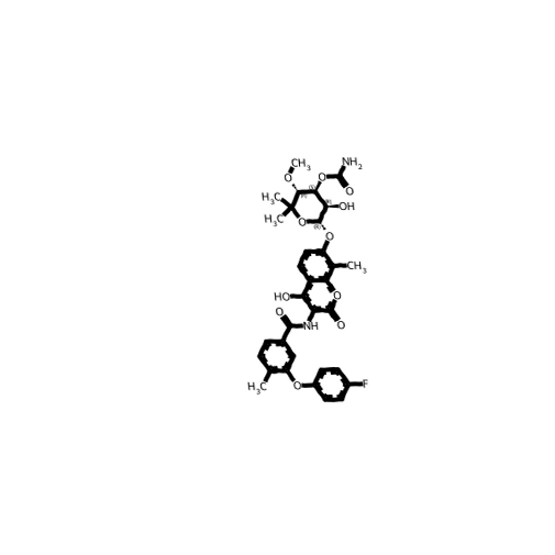 CO[C@@H]1[C@@H](OC(N)=O)[C@@H](O)[C@H](Oc2ccc3c(O)c(NC(=O)c4ccc(C)c(Oc5ccc(F)cc5)c4)c(=O)oc3c2C)OC1(C)C